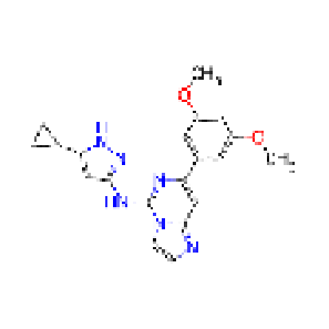 COc1cc(OC)cc(-c2cc3nccn3c(Nc3cc(C4CC4)[nH]n3)n2)c1